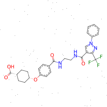 O=C(NCCNC(=O)c1cn(-c2ccccc2)nc1C(F)(F)F)c1ccc(O[C@H]2CC[C@@H](C(=O)O)CC2)cc1